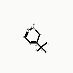 CC(C)(C)C1=CC=NNC1